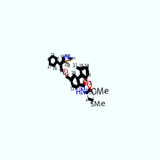 COC(=O)[C@H](CCSC)NC(=O)c1ccc(COCC(c2cncs2)C2CCCCC2)cc1-c1ccccc1C